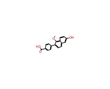 COc1c(-c2ccc(C(=O)O)cc2)ccc2cc(O)ccc12